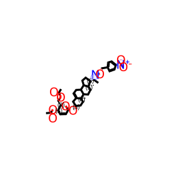 CC(=O)OC[C@H]1OC(O[C@H]2CC[C@@]3(C)C(=CCC4C3CC[C@@]3(C)C4CC[C@@H]3/C(C)=N/OCc3ccc([N+](=O)[O-])cc3)C2)C=C[C@@H]1OC(C)=O